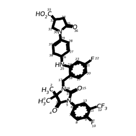 CC1(C)C(=O)N(c2ccc(F)c(C(F)(F)F)c2)C(=O)N1Cc1ccc(F)cc1NC1C=CC(N2CC(C(=O)O)CC2=O)=CC1